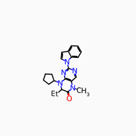 CCC1C(=O)N(C)c2cnc(-n3ccc4ccccc43)nc2N1C1CCCC1